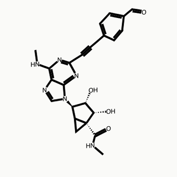 CNC(=O)[C@]12CC1[C@@H](n1cnc3c(NC)nc(C#Cc4ccc(C=O)cc4)nc31)[C@H](O)[C@@H]2O